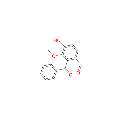 COc1c(O)ccc(C=O)c1C(=O)c1ccccc1